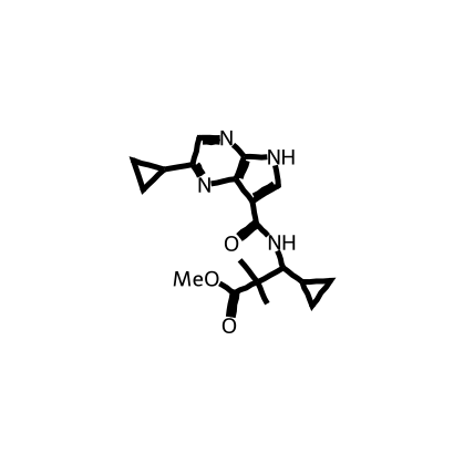 COC(=O)C(C)(C)C(NC(=O)c1c[nH]c2ncc(C3CC3)nc12)C1CC1